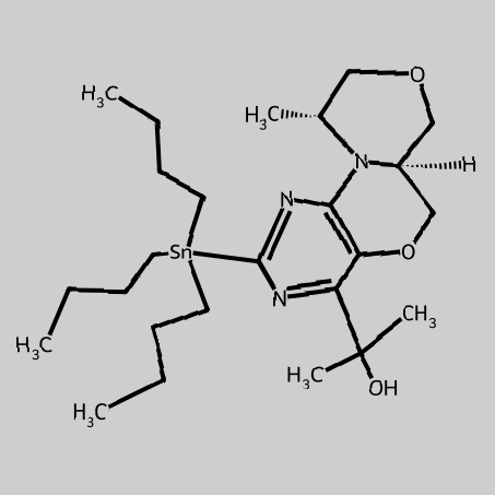 CCC[CH2][Sn]([CH2]CCC)([CH2]CCC)[c]1nc2c(c(C(C)(C)O)n1)OC[C@@H]1COC[C@@H](C)N21